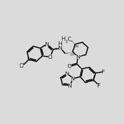 C[C@@H]1CCCN(C(=O)c2cc(F)c(F)cc2-n2nccn2)[C@@H]1CNc1nc2ccc(Cl)cc2o1